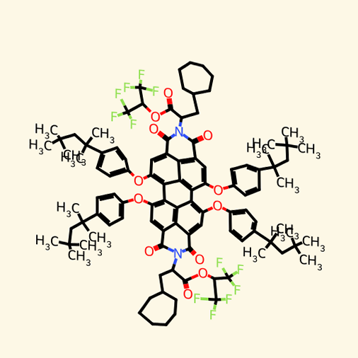 CC(C)(C)CC(C)(C)c1ccc(Oc2cc3c4c(cc(Oc5ccc(C(C)(C)CC(C)(C)C)cc5)c5c6c(Oc7ccc(C(C)(C)CC(C)(C)C)cc7)cc7c8c(cc(Oc9ccc(C(C)(C)CC(C)(C)C)cc9)c(c2c45)c86)C(=O)N(C(CC2CCCCCC2)C(=O)OC(C(F)(F)F)C(F)(F)F)C7=O)C(=O)N(C(CC2CCCCCC2)C(=O)OC(C(F)(F)F)C(F)(F)F)C3=O)cc1